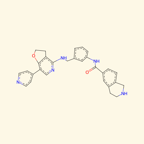 O=C(Nc1cccc(CNc2ncc(-c3ccncc3)c3c2CCO3)c1)c1ccc2c(c1)CCNC2